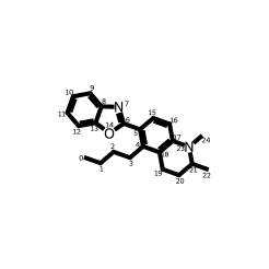 CCCCc1c(-c2nc3ccccc3o2)ccc2c1CCC(C)N2C